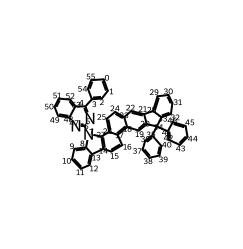 c1ccc(-c2nc(-n3c4ccccc4c4ccc5c6cc7c(cc6ccc5c43)-c3ccccc3C7(c3ccccc3)c3ccccc3)nc3ccccc23)cc1